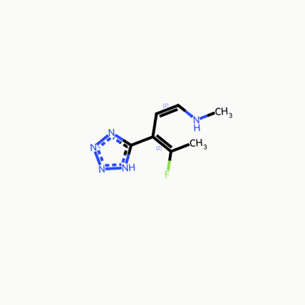 CN/C=C\C(=C(/C)F)c1nnn[nH]1